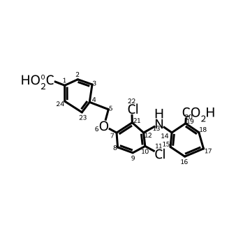 O=C(O)c1ccc(COc2ccc(Cl)c(Nc3ccccc3C(=O)O)c2Cl)cc1